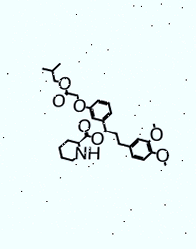 COc1ccc(CC[C@@H](OC(=O)[C@@H]2CCCCN2)c2cccc(OCC(=O)OCC(C)C)c2)cc1OC